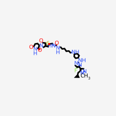 Cn1ncc(-c2nc(N[C@H]3CC[C@H](NCCCCCCNC(=O)NCc4cc5c(s4)C(=O)N(C4CCC(=O)NC4=O)C5)CC3)ncc2F)c1CC1CC1